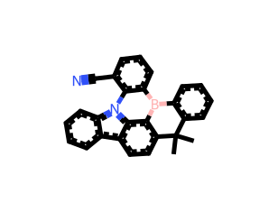 CC1(C)c2ccccc2B2c3cccc(C#N)c3-n3c4ccccc4c4ccc1c2c43